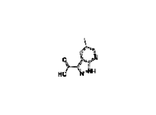 Cc1cnc2[nH]nc(C(=O)O)c2c1